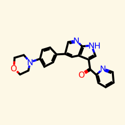 O=C(c1ccccn1)c1c[nH]c2ncc(-c3ccc(N4CCOCC4)cc3)cc12